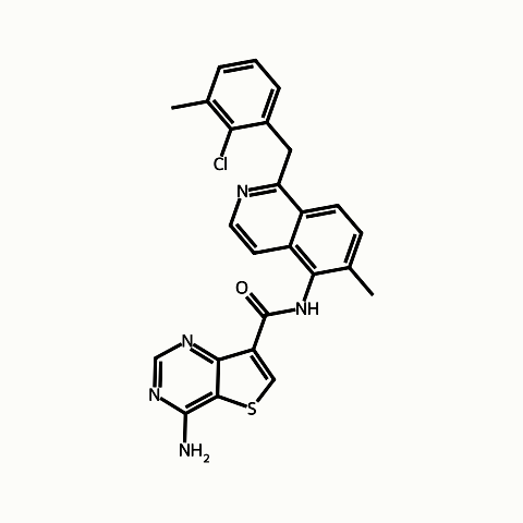 Cc1cccc(Cc2nccc3c(NC(=O)c4csc5c(N)ncnc45)c(C)ccc23)c1Cl